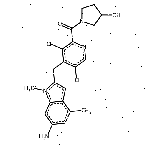 Cc1cc(N)cc2c1cc(Cc1c(Cl)cnc(C(=O)N3CCC(O)C3)c1Cl)n2C